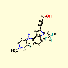 CN1CCC(Nc2cccc3c2cc(C#CCO)n3CC(F)(F)F)C(F)C1